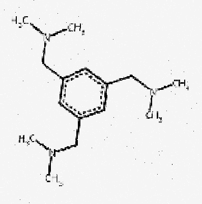 CN(C)Cc1cc(CN(C)C)cc(CN(C)C)c1